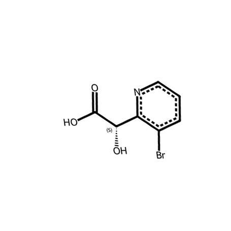 O=C(O)[C@@H](O)c1ncccc1Br